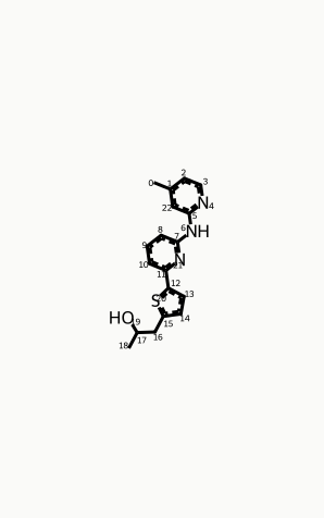 Cc1ccnc(Nc2cccc(-c3ccc(CC(C)O)s3)n2)c1